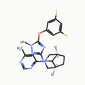 CCCn1nc(NC2[C@@H]3CC[C@H]2CN(c2cc(C)ncn2)C3)nc1Oc1cc(F)cc(F)c1